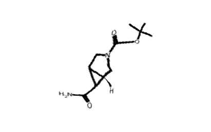 CC(C)(C)OC(=O)N1CC2C(C(N)=O)[C@H]2C1